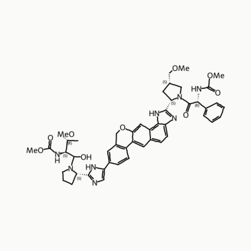 COC[C@H]1C[C@@H](c2nc3ccc4cc5c(cc4c3[nH]2)OCc2cc(-c3cnc([C@@H]4CCCN4C(O)[C@@H](NC(=O)OC)[C@@H](C)OC)[nH]3)ccc2-5)N(C(=O)[C@H](NC(=O)OC)c2ccccc2)C1